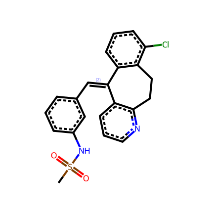 CS(=O)(=O)Nc1cccc(/C=C2\c3cccnc3CCc3c(Cl)cccc32)c1